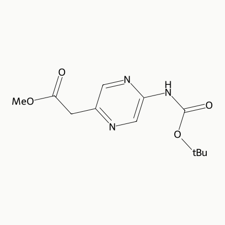 COC(=O)Cc1cnc(NC(=O)OC(C)(C)C)cn1